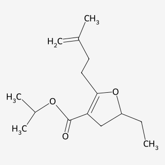 C=C(C)CCC1=C(C(=O)OC(C)C)CC(CC)O1